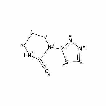 O=C1NCCCN1c1nncs1